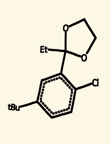 CCC1(c2cc(C(C)(C)C)ccc2Cl)OCCO1